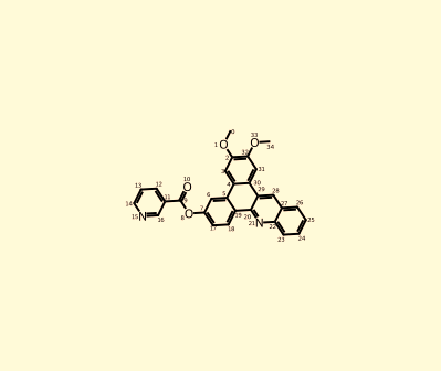 COc1cc2c3cc(OC(=O)c4cccnc4)ccc3c3nc4ccccc4cc3c2cc1OC